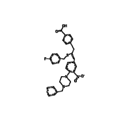 O=C(O)c1ccc(CC(=Cc2ccc(N3CCN(Cc4ccccc4)CC3)c([N+](=O)[O-])c2)SCc2ccc(F)cc2)cc1